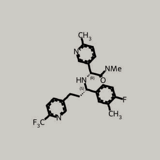 CNC(=O)[C@H](N[C@@H](CCc1ccc(C(F)(F)F)nc1)c1ccc(F)c(C)c1)c1ccc(C)nc1